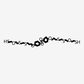 O=S(=O)(c1ccc(OCCCSCCSCCOCCS)cc1)c1ccc(OCCCSCCSCCOCCS)cc1